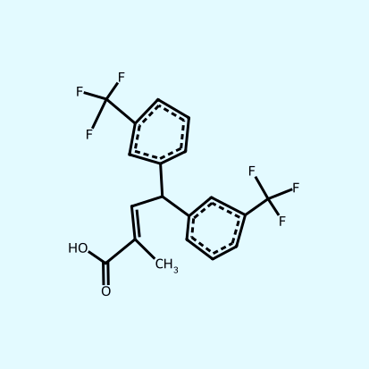 C/C(=C\C(c1cccc(C(F)(F)F)c1)c1cccc(C(F)(F)F)c1)C(=O)O